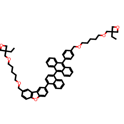 CCC1(COCCCCCOCc2ccc(-c3c4ccccc4c(-c4ccc(-c5ccc6oc7ccc(COCCCCCOCC8(CC)COC8)cc7c6c5)c5ccccc45)c4ccccc34)cc2)COC1